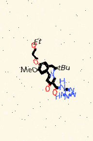 CCOCCCOc1cc2c(cc1OC)-c1cc(=O)c(C(=O)Nc3nnn[nH]3)cn1C(C(C)(C)C)C2